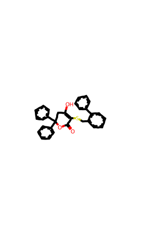 O=C1OC(c2ccccc2)(c2ccccc2)CC(O)=C1SCc1ccccc1-c1ccccc1